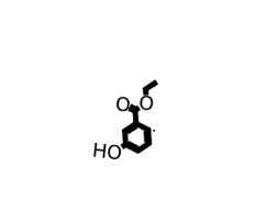 CCOC(=O)c1[c]ccc(O)c1